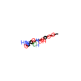 CCCCOCCOCc1ccc(OCC(O)CNCCOc2ccc(C3=NNC(=O)CC3)cc2Cl)cc1